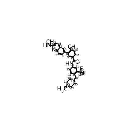 CNc1ccc2cc(-c3cc(C(=O)Nc4ccc(CN5CCN(C)CC5)c(C(F)(F)F)c4)ccc3C)ccc2n1